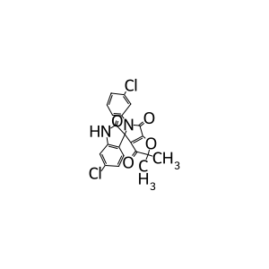 CC1(C)OC2=C(C1=O)C1(C(=O)Nc3cc(Cl)ccc31)N(c1cccc(Cl)c1)C2=O